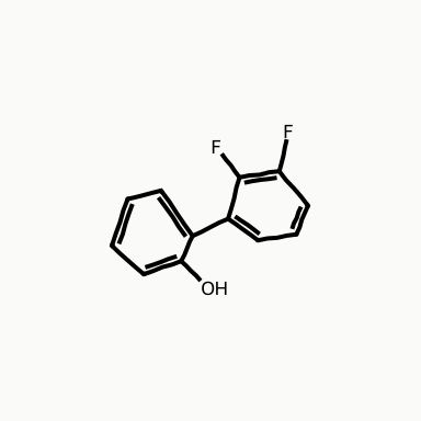 Oc1ccccc1-c1cccc(F)c1F